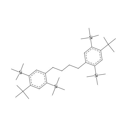 CC(C)(C)c1cc([Si](C)(C)C)c(CCCCc2cc([Si](C)(C)C)c(C(C)(C)C)cc2[Si](C)(C)C)cc1[Si](C)(C)C